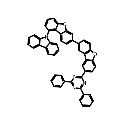 c1ccc(-c2nc(-c3ccccc3)nc(-c3ccc4oc5ccc(-c6ccc7c(c6)oc6cccc(-n8c9ccccc9c9ccccc98)c67)cc5c4c3)n2)cc1